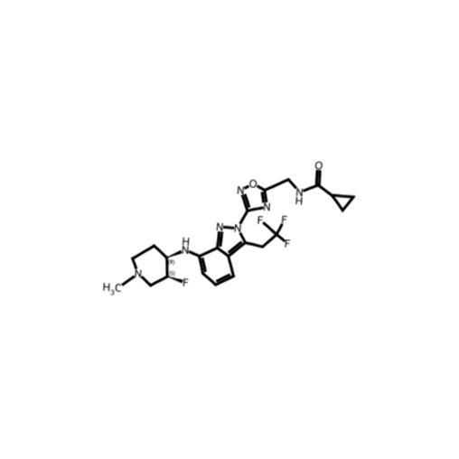 CN1CC[C@@H](Nc2cccc3c(CC(F)(F)F)n(-c4noc(CNC(=O)C5CC5)n4)nc23)[C@@H](F)C1